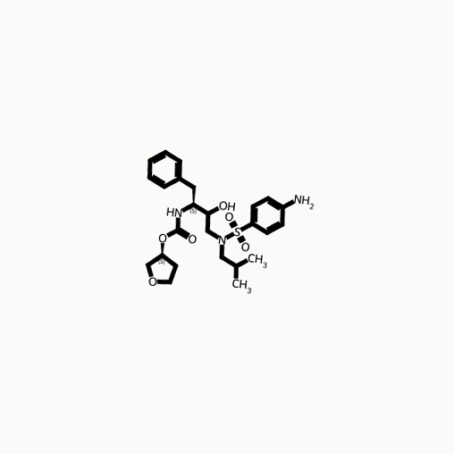 CC(C)CN(CC(O)[C@H](Cc1ccccc1)NC(=O)O[C@H]1CCOC1)S(=O)(=O)c1ccc(N)cc1